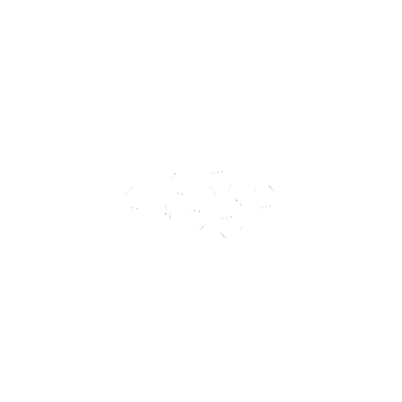 CC1(C)c2ccccc2N(c2ccc3oc4ccc5c(-c6ccccc6)nc6ccccc6c5c4c3c2)c2ccccc21